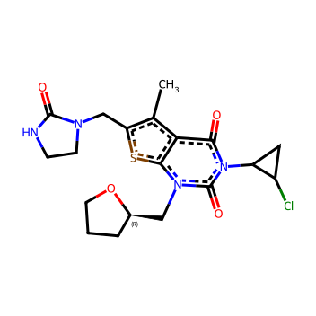 Cc1c(CN2CCNC2=O)sc2c1c(=O)n(C1CC1Cl)c(=O)n2C[C@H]1CCCO1